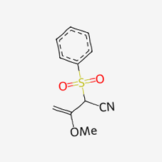 C=C(OC)C(C#N)S(=O)(=O)c1ccccc1